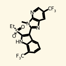 CCS(=O)(=O)c1[nH]c2c(C(F)(F)F)cccc2c1-c1nc2cc(C(F)(F)F)cnc2n1C